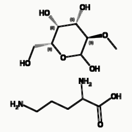 CO[C@H]1C(O)O[C@H](CO)[C@H](O)[C@@H]1O.NCCCC(N)C(=O)O